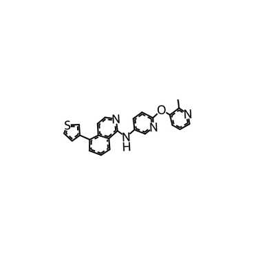 Cc1ncccc1Oc1ccc(Nc2nccc3c(-c4ccsc4)cccc23)cn1